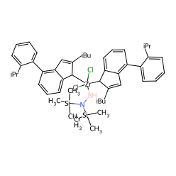 CCC(C)C1=Cc2c(-c3ccccc3C(C)C)cccc2[CH]1[Zr]([Cl])([Cl])([BH]N([Si](C)(C)C)[Si](C)(C)C)[CH]1C(C(C)CC)=Cc2c(-c3ccccc3C(C)C)cccc21